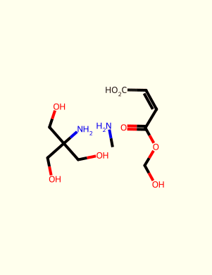 CN.NC(CO)(CO)CO.O=C(O)/C=C\C(=O)OCO